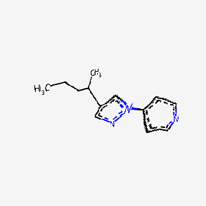 CCCC(C)c1cnn(-c2ccncc2)c1